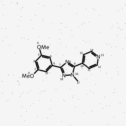 COc1cc(OC)cc(-c2nc(-c3ccncc3)n(C)n2)c1